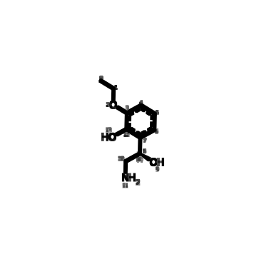 CCOc1cccc([C@@H](O)CN)c1O